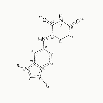 Cn1cc(I)c2ccc(NC3CCC(=O)NC3=O)cc21